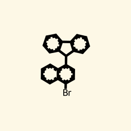 Brc1ccc(C2c3ccccc3-c3ccccc32)c2ccccc12